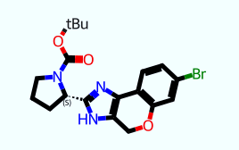 CC(C)(C)OC(=O)N1CCC[C@H]1c1nc2c([nH]1)COc1cc(Br)ccc1-2